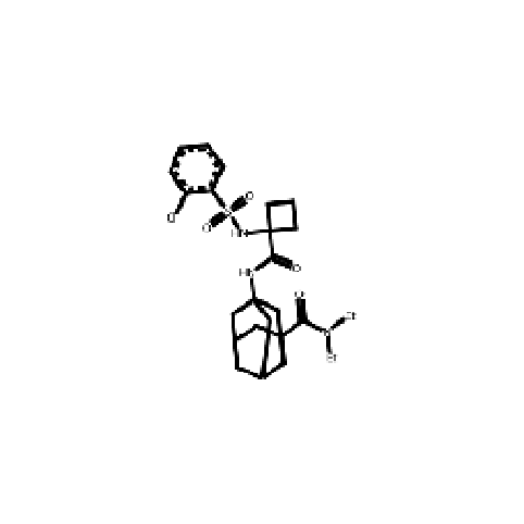 CCN(CC)C(=O)C12CC3CC(CC(NC(=O)C4(NS(=O)(=O)c5ccccc5Cl)CCC4)(C3)C1)C2